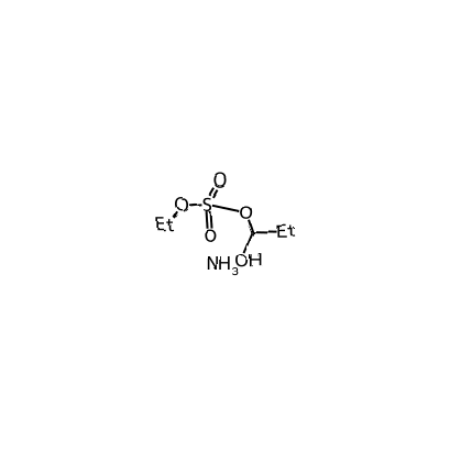 CCOS(=O)(=O)OC(O)CC.N